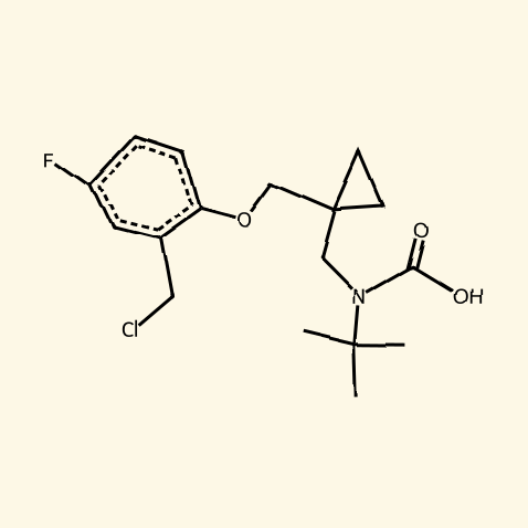 CC(C)(C)N(CC1(COc2ccc(F)cc2CCl)CC1)C(=O)O